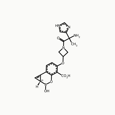 CC(N)(C(=O)N1CC(Oc2ccc3c(c2C(=O)O)OB(O)[C@@H]2C=C32)C1)c1c[nH]cn1